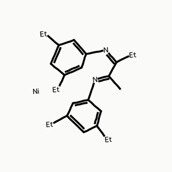 CCC(=Nc1cc(CC)cc(CC)c1)C(C)=Nc1cc(CC)cc(CC)c1.[Ni]